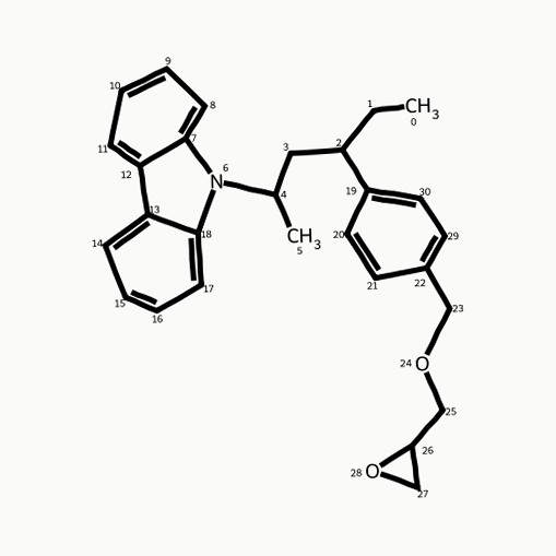 CCC(CC(C)n1c2ccccc2c2ccccc21)c1ccc(COCC2CO2)cc1